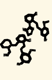 COc1ccc(Br)cc1CCc1c(Cl)cccc1C1=NCCN1.COc1ccc(Br)cc1CCc1c(Cl)cccc1CN1CCCCC1CO